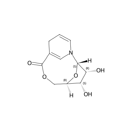 O=C1OC[C@H]2O[C@@H]([C@H](O)[C@@H]2O)N2C=CCC1=C2